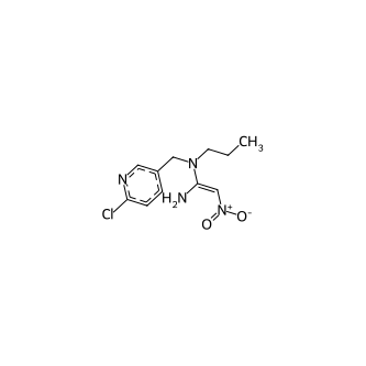 CCCN(Cc1ccc(Cl)nc1)C(N)=C[N+](=O)[O-]